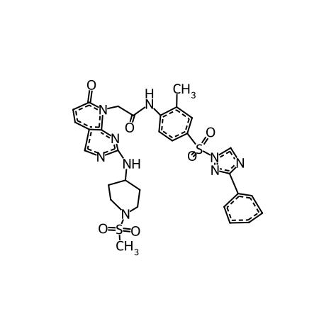 Cc1cc(S(=O)(=O)n2cnc(-c3ccccc3)n2)ccc1NC(=O)Cn1c(=O)ccc2cnc(NC3CCN(S(C)(=O)=O)CC3)nc21